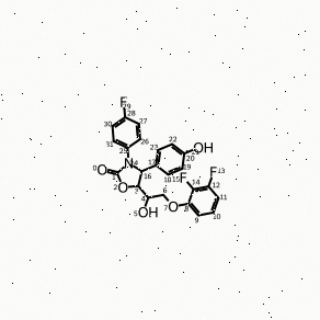 O=C1OC(C(O)COc2cccc(F)c2F)C(c2ccc(O)cc2)N1c1ccc(F)cc1